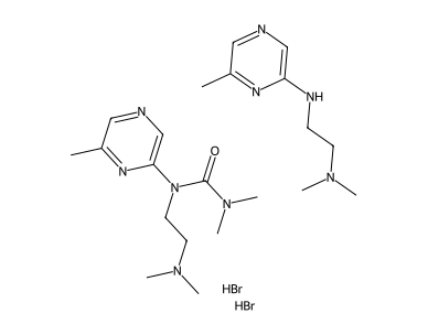 Br.Br.Cc1cncc(N(CCN(C)C)C(=O)N(C)C)n1.Cc1cncc(NCCN(C)C)n1